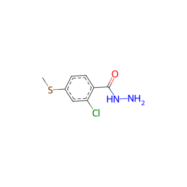 CSc1ccc(C(=O)NN)c(Cl)c1